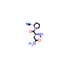 CN[C@@H](CC(N)=O)C(=O)N1CCC[C@H]1C#N